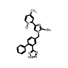 CCCCc1nc(-c2cc(C)cc[n+]2[O-])cn1Cc1ccc(-c2ccccc2)c(-c2nn[nH]n2)c1